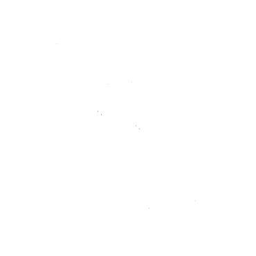 CC[C@H]1C(CO)CCN1c1ccc2c(C(=O)O)c(Cl)ccc2n1